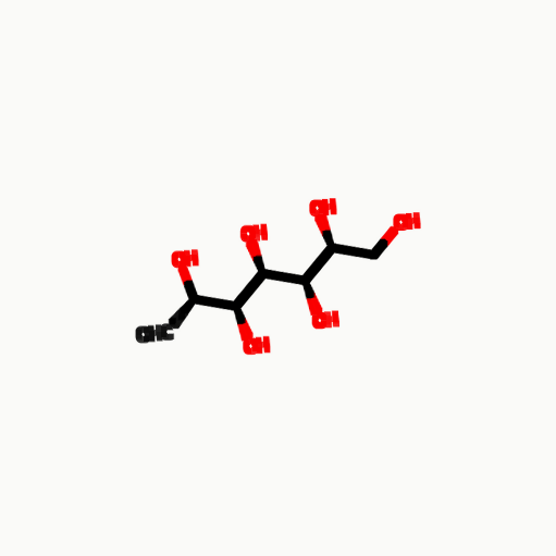 O=C[C@@H](O)[C@H](O)[C@@H](O)[C@H](O)[C@@H](O)CO